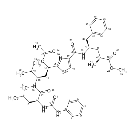 CCC[C@H](NC(=O)Nc1ccccc1)C(=O)N(C)[C@H](C[C@@H](OC(C)=O)c1nc(C(=O)N[C@@H](Cc2ccccc2)C[C@H](C)C(=O)OC)cs1)C(C)C